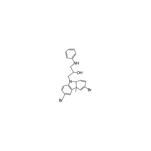 CC12C=C(Br)C=CC1N(CC(O)CNc1ccccc1)c1ccc(Br)cc12